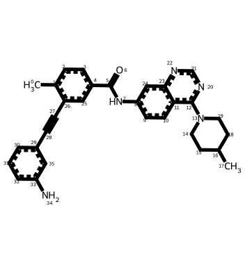 Cc1ccc(C(=O)Nc2ccc3c(N4CCC(C)CC4)ncnc3c2)cc1C#Cc1cccc(N)c1